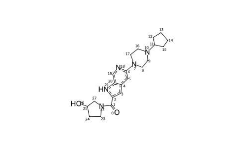 O=C(c1cc2cc(N3CCN(C4CCCC4)CC3)ncc2[nH]1)N1CCC(O)C1